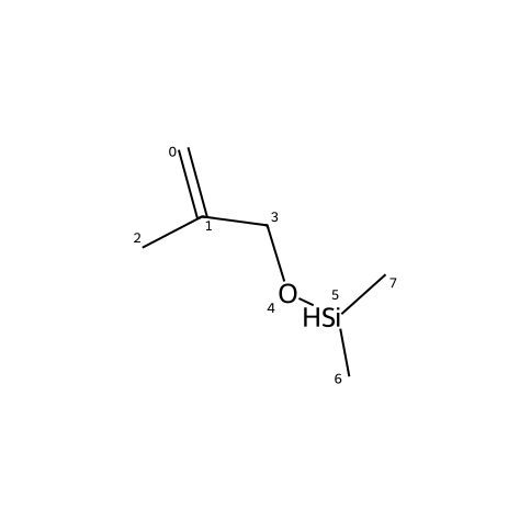 C=C(C)CO[SiH](C)C